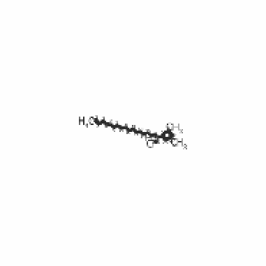 CCCCCCCCCCCCCCCCCC[SiH](CCl)c1cc(C)cc(C)c1